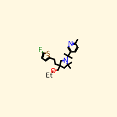 CCOCC1(CCc2ccc(F)s2)CN(C(C)(C)c2ccc(C)nc2)C(C)(C)C1